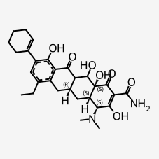 CCc1cc(C2=CCCCC2)c(O)c2c1C[C@H]1C[C@H]3[C@H](N(C)C)C(O)=C(C(N)=O)C(=O)[C@@]3(O)C(O)C1C2=O